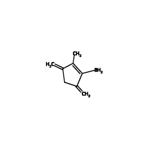 BC1=C(C)C(=C)CC1=C